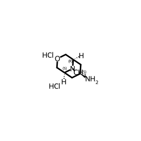 CN1[C@@H]2COC[C@H]1C[C@@H](N)C2.Cl.Cl